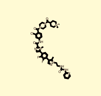 Cc1c(-c2ccc(-c3cnc(C(=O)Nc4ccc(C(=O)N5CCN(C(=O)C6CC[N+](C)(C)CC6)CC5)c(Cl)c4)n3C)c(F)c2F)cnn1CCNC(=O)Nc1ccccn1